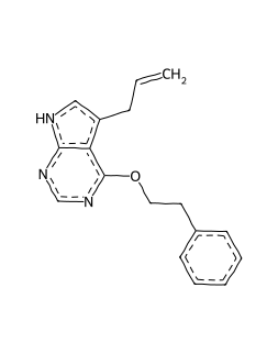 C=CCc1c[nH]c2ncnc(OCCc3ccccc3)c12